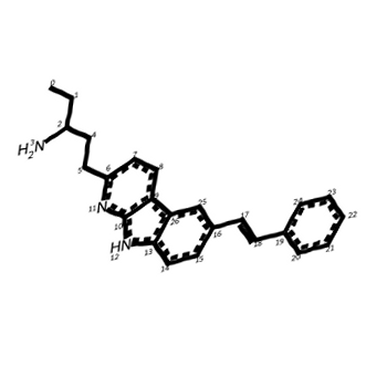 CCC(N)CCc1ccc2c(n1)[nH]c1ccc(C=Cc3ccccc3)cc12